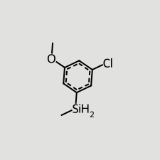 COc1cc(Cl)cc([SiH2]C)c1